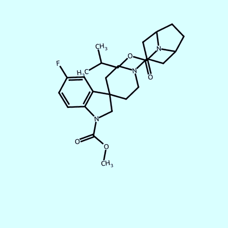 COC(=O)N1CC2(CCN(C3CC4CCC(C3)N4C(=O)OCC(C)C)CC2)c2cc(F)ccc21